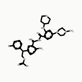 CC(C)C(=O)OCC(c1cccc(F)c1)c1ccc(N)c(C(=N)NC(=O)c2ccc(N3CCN(C)CC3)cc2NC2CCOCC2)c1